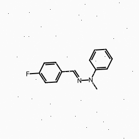 CN(/N=C/c1ccc(F)cc1)c1ccccc1